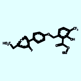 CC(C)(C)OC(=O)c1c(COc2ccc(-c3ccc(CC(=O)O)cc3F)cc2)ccc(C(F)(F)F)c1O